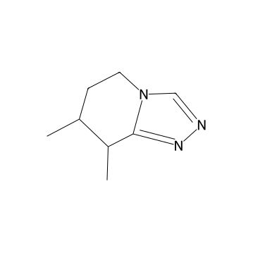 CC1CCn2cnnc2C1C